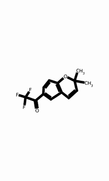 CC1(C)C=Cc2cc(C(=O)C(F)(F)F)ccc2O1